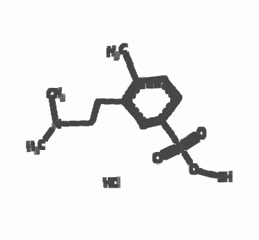 Cc1ccc(S(=O)(=O)OS)cc1CCN(C)C.Cl